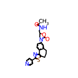 CC(=O)NCC1CN(c2ccc3c(c2)CCCc2sc(-c4ccncc4)nc2-3)C(=O)O1